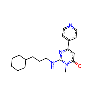 Cn1c(NCCCC2CCCCC2)nc(-c2ccncc2)cc1=O